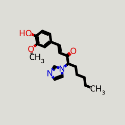 CCCCCC(C(=O)C=Cc1ccc(O)c(OC)c1)n1ccnc1